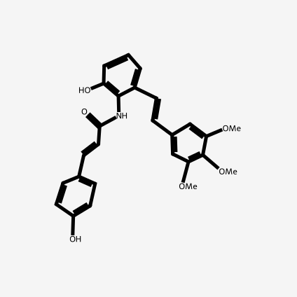 COc1cc(/C=C/c2cccc(O)c2NC(=O)/C=C/c2ccc(O)cc2)cc(OC)c1OC